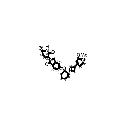 COc1cc(C2CN([C@@H]3CCCC[C@H]3Oc3ccc4c(c3)CN(C3CCC(=O)NC3=O)C4=O)C2)ccn1